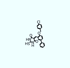 O=C1NC(S)NC(=O)C1=Cc1cc(-c2ccccc2)ccc1OCc1ccc(Cl)cc1